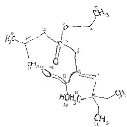 CCOP(=O)(CC(=CC(C)(C)C)C(=O)O)CC(C)C